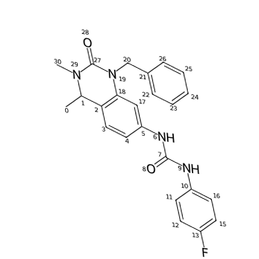 CC1c2ccc(NC(=O)Nc3ccc(F)cc3)cc2N(Cc2ccccc2)C(=O)N1C